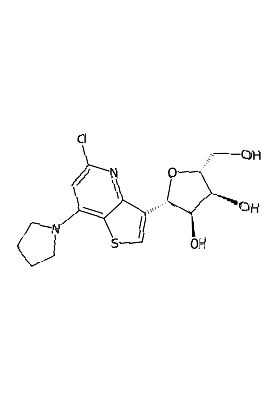 OC[C@H]1O[C@@H](c2csc3c(N4CCCC4)cc(Cl)nc23)[C@H](O)[C@@H]1O